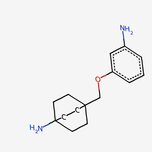 Nc1cccc(OCC23CCC(N)(CC2)CC3)c1